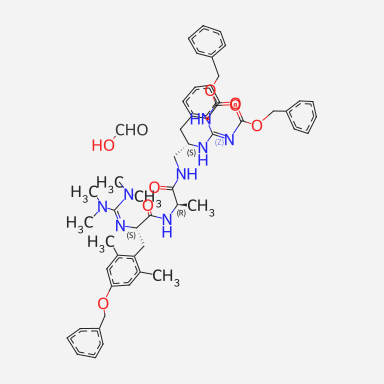 Cc1cc(OCc2ccccc2)cc(C)c1C[C@H](N=C(N(C)C)N(C)C)C(=O)N[C@H](C)C(=O)NC[C@H](Cc1ccccc1)N/C(=N/C(=O)OCc1ccccc1)NC(=O)OCc1ccccc1.O=CO